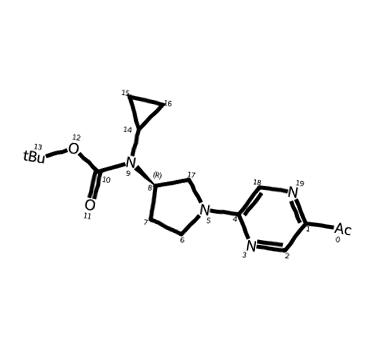 CC(=O)c1cnc(N2CC[C@@H](N(C(=O)OC(C)(C)C)C3CC3)C2)cn1